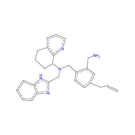 C=CCc1ccc(CN(Cc2nc3ccccc3[nH]2)C2CCCc3cccnc32)c(CN)c1